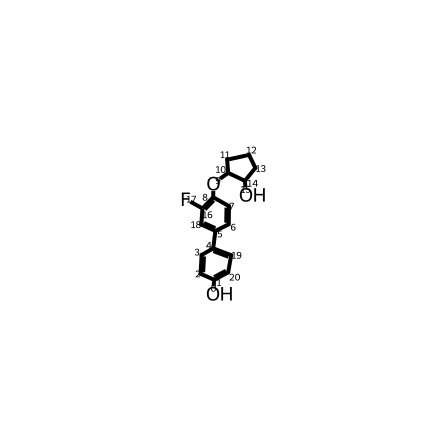 Oc1ccc(-c2ccc(OC3CCCC3O)c(F)c2)cc1